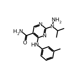 Cc1cccc(Nc2nc(N(N)C(C)C)ncc2C(N)=O)c1